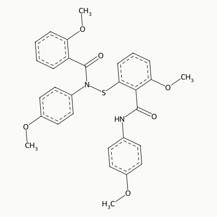 COc1ccc(NC(=O)c2c(OC)cccc2SN(C(=O)c2ccccc2OC)c2ccc(OC)cc2)cc1